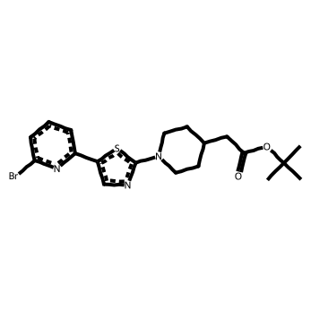 CC(C)(C)OC(=O)CC1CCN(c2ncc(-c3cccc(Br)n3)s2)CC1